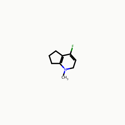 CN1CC=C(F)C2=C1CCC2